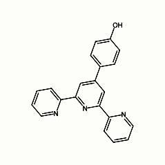 Oc1ccc(-c2cc(-c3ccccn3)nc(-c3ccccn3)c2)cc1